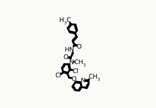 Cc1ccc(C=CC(=O)NCC(=O)N(C)c2ccc(Cl)c(COc3cccc4ccc(C)nc34)c2Cl)cc1